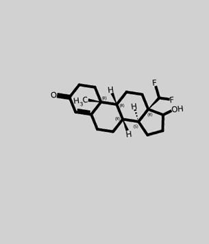 C[C@]12CCC(=O)C=C1CC[C@@H]1[C@H]2CC[C@]2(C(F)F)C(O)CC[C@@H]12